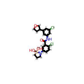 O=C(Nc1cc(Cl)cc(C2CCOC2)c1)c1cc(N2CCCS2(O)O)ccc1Cl